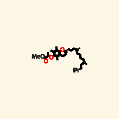 COC(=O)C(C)Oc1c(C)c(C)c2c(c1C)CC[C@@H](CCC[C@H](C)CCCC[C@@H](C)CCC(C)C)O2